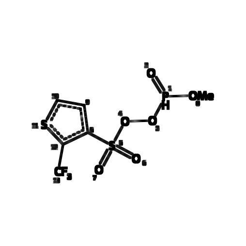 CO[PH](=O)OOS(=O)(=O)c1ccsc1C(F)(F)F